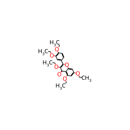 CCOc1cc(OCC)c2c(=O)c(OCC)c(-c3ccc(OCC)c(OCC)c3)oc2c1